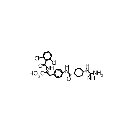 N=C(N)N[C@H]1CC[C@H](C(=O)Nc2ccc(C[C@H](NC(=O)c3c(Cl)cccc3Cl)C(=O)O)cc2)CC1